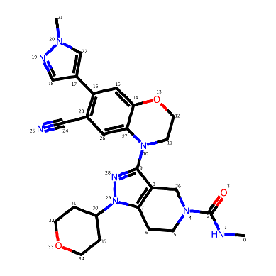 CNC(=O)N1CCc2c(c(N3CCOc4cc(-c5cnn(C)c5)c(C#N)cc43)nn2C2CCOCC2)C1